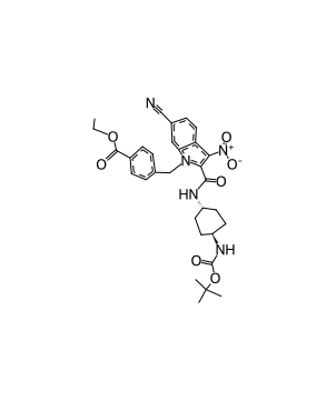 CCOC(=O)c1ccc(Cn2c(C(=O)N[C@H]3CC[C@H](NC(=O)OC(C)(C)C)CC3)c([N+](=O)[O-])c3ccc(C#N)cc32)cc1